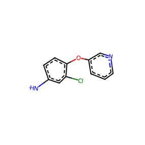 [NH]c1ccc(Oc2cccnc2)c(Cl)c1